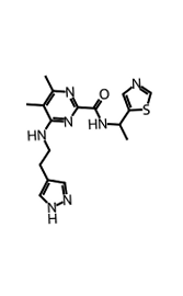 Cc1nc(C(=O)NC(C)c2cncs2)nc(NCCc2cn[nH]c2)c1C